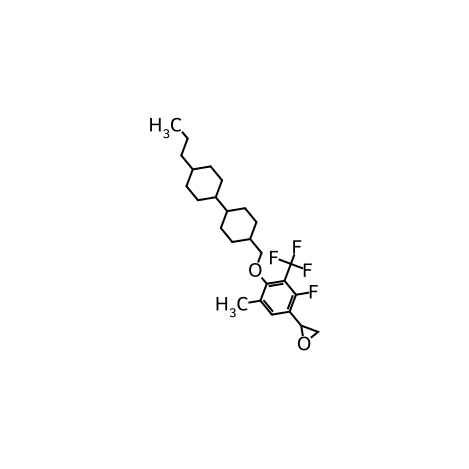 CCCC1CCC(C2CCC(COc3c(C)cc(C4CO4)c(F)c3C(F)(F)F)CC2)CC1